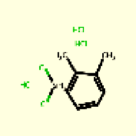 Cc1ccccc1C.Cl.Cl.Cl.Cl[SiH2]Cl